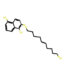 SCCCCCCCCCCSc1ccc2c(S)cccc2c1S